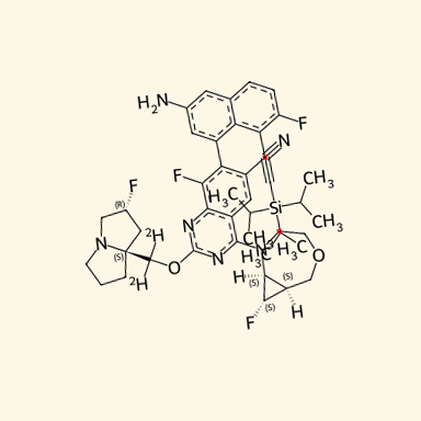 [2H]C([2H])(Oc1nc(N2CCOC[C@H]3[C@H](F)[C@H]32)c2cc(C#N)c(-c3cc(N)cc4ccc(F)c(C#C[Si](C(C)C)(C(C)C)C(C)C)c34)c(F)c2n1)[C@@]12CCCN1C[C@H](F)C2